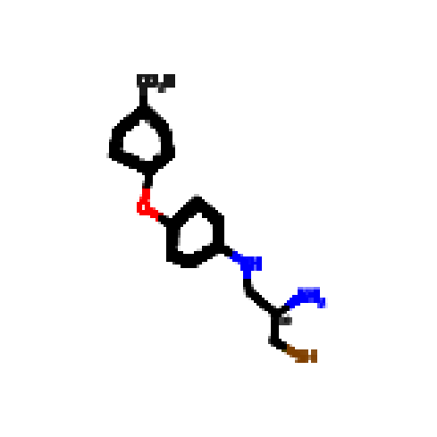 N[C@@H](CS)CNc1ccc(Oc2ccc(C(=O)O)cc2)cc1